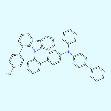 CC(C)(C)c1ccc(-c2cccc3c4ccccc4n(-c4ccccc4-c4ccc(N(c5ccccc5)c5ccc(-c6ccccc6)cc5)cc4)c23)cc1